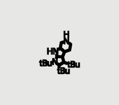 CC(C)(C)C1C2C3CCNCC3NC2N(C(C)(C)C)C1C(C)(C)C